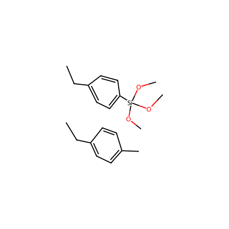 CCc1ccc(C)cc1.CCc1ccc([Si](OC)(OC)OC)cc1